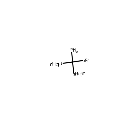 CCCCCCCC(P)(CCC)CCCCCCC